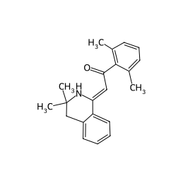 Cc1cccc(C)c1C(=O)C=C1NC(C)(C)Cc2ccccc21